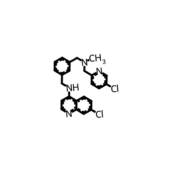 CN(Cc1cccc(CNc2ccnc3cc(Cl)ccc23)c1)Cc1ccc(Cl)cn1